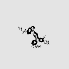 COc1ccc(-n2nc(N3CCCC4CC(N)CCC43)cc2-c2ccc(C#N)c(F)c2)cc1